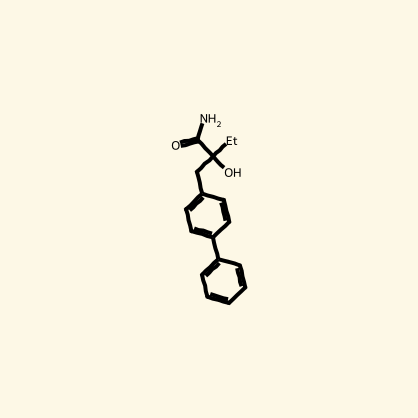 CCC(O)(Cc1ccc(-c2ccccc2)cc1)C(N)=O